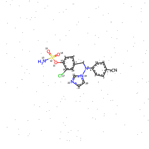 N#Cc1ccc(N(Cc2ccc(OS(N)(=O)=O)c(Cl)c2)n2ccnc2)cc1